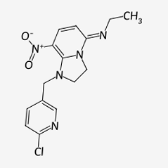 CCN=c1ccc([N+](=O)[O-])c2n1CCN2Cc1ccc(Cl)nc1